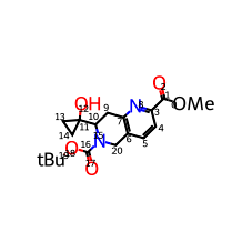 COC(=O)c1ccc2c(n1)CC(C1(O)CC1)N(C(=O)OC(C)(C)C)C2